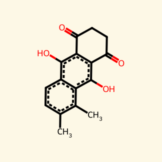 Cc1ccc2c(O)c3c(c(O)c2c1C)C(=O)CCC3=O